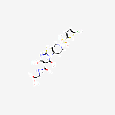 O=C(O)CNC(=O)c1c(O)nc2sc3c(n2c1=O)CCN(S(=O)(=O)c1ccc(Cl)s1)C3